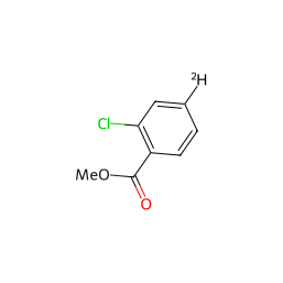 [2H]c1ccc(C(=O)OC)c(Cl)c1